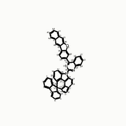 c1ccc2c(c1)-c1ccccc1C21c2cccc3ccc4c(c23)c2c1cccc2n4-c1nc(-c2ccc3c(c2)oc2cc4ccccc4cc23)c2ccccc2n1